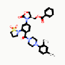 Cc1ccc(N2CCN(C(=O)c3ccc(N4C(=O)OC[C@H]4COC(=O)c4ccccc4)cc3N3CCCS3(=O)=O)CC2)c(C)c1